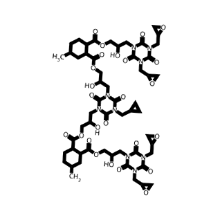 CC1CCC(C(=O)OCC(O)Cn2c(=O)n(CC3CO3)c(=O)n(CC3CO3)c2=O)C(C(=O)OCC(O)Cn2c(=O)n(CC(O)COC(=O)C3CCC(C)CC3C(=O)OCC(O)Cn3c(=O)n(CC4CO4)c(=O)n(CC4CO4)c3=O)c(=O)n(CC3CC3)c2=O)C1